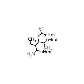 C=CC(C(N)CCCCCC)C([CH]C(CC)CCCCCC)C(N)CCCCCC